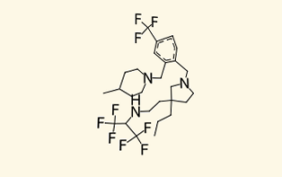 CCCC1(CCNC(C(F)(F)F)C(F)(F)F)CCN(Cc2ccc(C(F)(F)F)cc2CN2CCC(C)CC2)C1